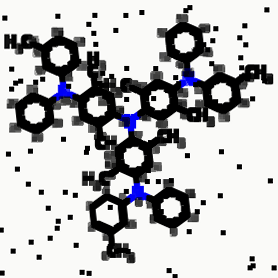 CC1=CCCC(N(c2ccccc2)c2cc(C)c(N(c3cc(C)c(N(c4ccccc4)c4cccc(C)c4)cc3C)c3cc(C)c(N(c4ccccc4)c4cccc(C)c4)cc3C)cc2C)=C1